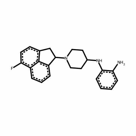 Nc1ccccc1NC1CCN(C2Cc3ccc(F)c4cccc2c34)CC1